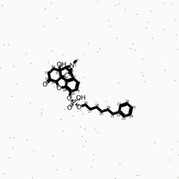 CN1C2C13CC14c5c3ccc(OP(=O)(O)OCCCCCCc3ccccc3)c5OC1C(=O)CCC24O